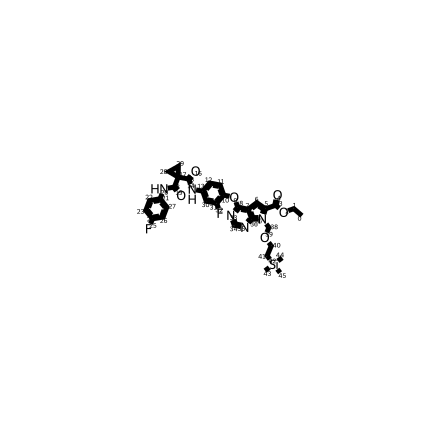 CCOC(=O)c1cc2c(Oc3ccc(NC(=O)C4(C(=O)Nc5ccc(F)cc5)CC4)cc3F)ncnc2n1COCC[Si](C)(C)C